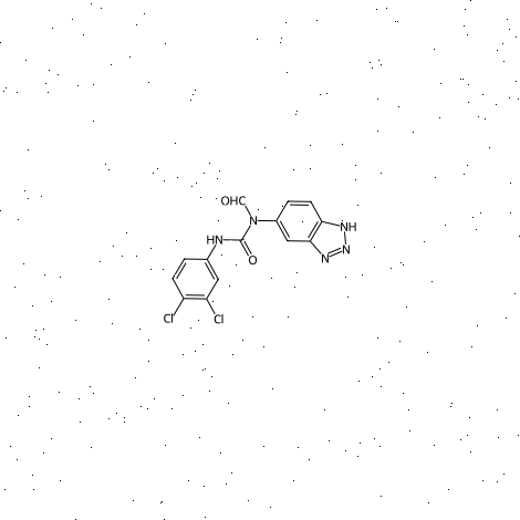 O=CN(C(=O)Nc1ccc(Cl)c(Cl)c1)c1ccc2[nH]nnc2c1